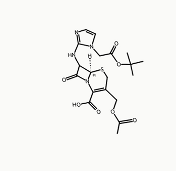 CC(=O)OCC1=C(C(=O)O)N2C(=O)C(Nc3nccn3CC(=O)OC(C)(C)C)[C@H]2SC1